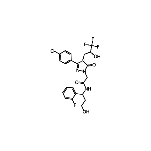 O=C(Cn1nc(-c2ccc(Cl)cc2)n(C[C@H](O)C(F)(F)F)c1=O)NC(CCO)c1ccccc1F